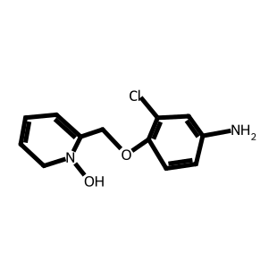 Nc1ccc(OCC2=CC=CCN2O)c(Cl)c1